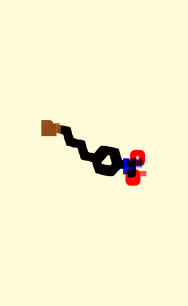 O=[N+]([O-])c1ccc(CCCCBr)cc1